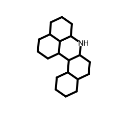 C1CCC2C(C1)CCC1NC3CCCC4CCCC(C43)C12